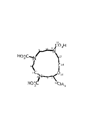 CC1CN(C(=O)O)CCN(C(=O)O)CCN(C(=O)O)CCO1